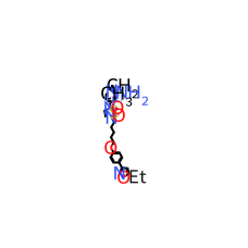 C=N/C(N)=C\C(=C/C)N1CCN(CCCCCOc2ccc(-c3cc(CC)on3)cc2)S1(=O)=O